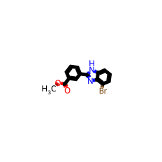 COC(=O)c1cccc(-c2nc3c(Br)cccc3[nH]2)c1